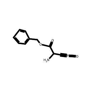 NC(C#P=O)C(=O)OCc1ccccc1